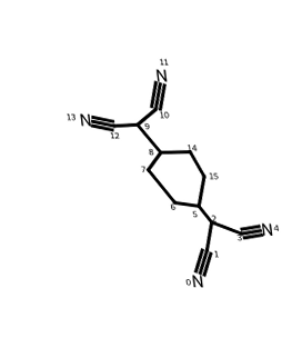 N#CC(C#N)C1CCC(C(C#N)C#N)CC1